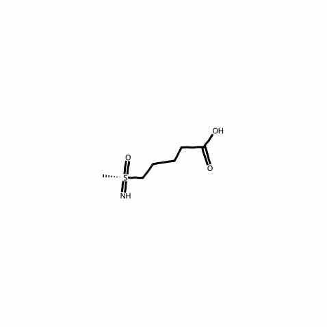 C[S@](=N)(=O)CCCCC(=O)O